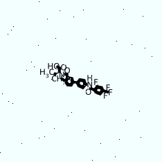 CC(C)[C@@H](C(=O)O)N1Cc2ccc(-c3ccc(NC(=O)c4ccc(C(F)(F)F)cc4F)cc3)cc2C1=O